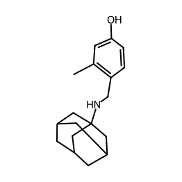 Cc1cc(O)ccc1CNC12CC3CC(CC(C3)C1)C2